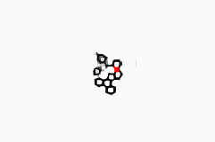 CC1=CC[C]([Zr](=[C](c2ccc(C)cc2)c2ccc(C)cc2)[CH]2c3ccccc3-c3c2c2ccccc2c2ccccc32)=C1C(C)(C)C